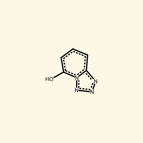 Oc1cccc2nnnn12